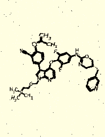 CC(C)Oc1ccc(-c2cn(COCC[Si](C)(C)C)c3nccc(Oc4c(F)cc(NC5=NC[C@@H](Cc6cccnc6)CO5)cc4F)c23)cc1C#N